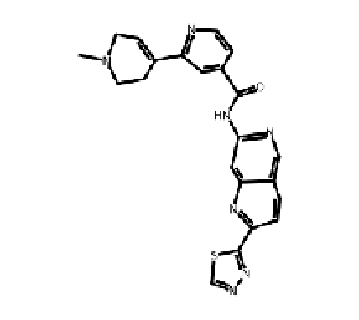 CN1CC=C(c2cc(C(=O)Nc3cc4nc(-c5nncs5)ccc4cn3)ccn2)CC1